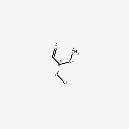 CC[C@H](C=O)NC